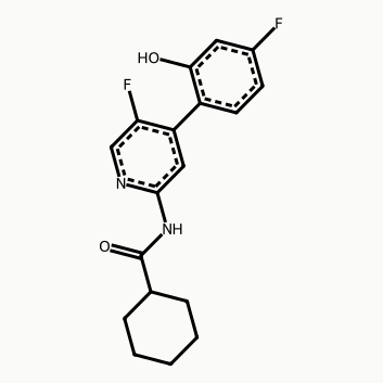 O=C(Nc1cc(-c2ccc(F)cc2O)c(F)cn1)C1CCCCC1